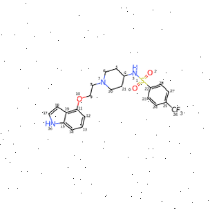 O=S(=O)(NC1CCN(CCOc2cccc3[nH]ccc23)CC1)c1ccc(C(F)(F)F)cc1